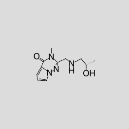 C[C@H](O)CNCc1nn2cccc2c(=O)n1C